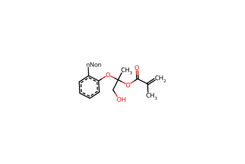 C=C(C)C(=O)OC(C)(CO)Oc1ccccc1CCCCCCCCC